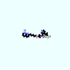 CC1(c2ccncc2C(C(=O)O)N2CC(OCCCCCc3ccc4c(n3)NCCC4)C2)CC1